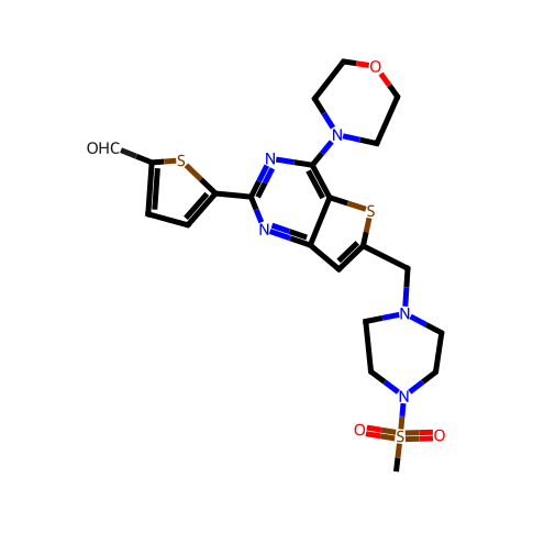 CS(=O)(=O)N1CCN(Cc2cc3nc(-c4ccc(C=O)s4)nc(N4CCOCC4)c3s2)CC1